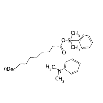 CCCCCCCCCCCCCCCCCC(=O)O[Si](C)(C)c1ccccc1.CN(C)c1ccccc1